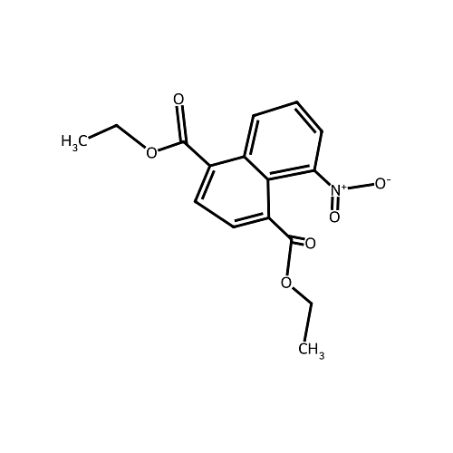 CCOC(=O)c1ccc(C(=O)OCC)c2c([N+](=O)[O-])cccc12